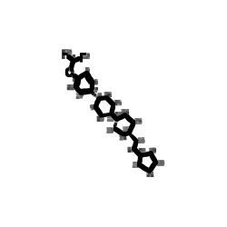 FC(F)Oc1ccc([C@H]2CC[C@H]([C@H]3CC[C@H](CCC4CCCC4)CC3)CC2)cc1